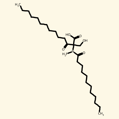 CCCCCCCCCCCC(=O)N(P)C(CO)(C(=O)O)C(=O)CCCCCCCCCCC